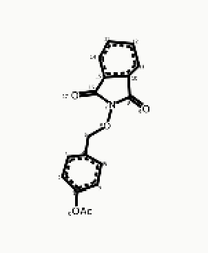 CC(=O)Oc1ccc(CON2C(=O)c3ccccc3C2=O)cc1